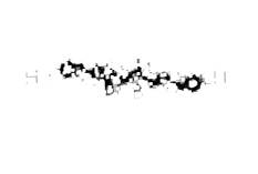 Cc1ccc2cc(-c3cc4sc(-c5sc6c(Br)c(-c7sc8cc(-c9cc%10ccc(C)cc%10s9)sc8c7Br)sc6c5Br)c(Br)c4s3)sc2c1